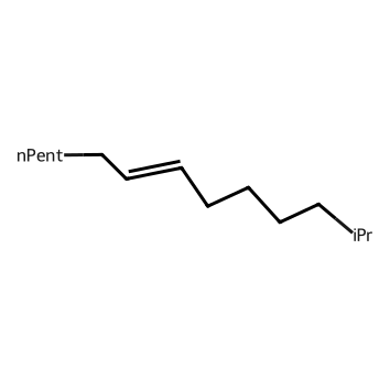 CCCCCCC=CCCCCC(C)C